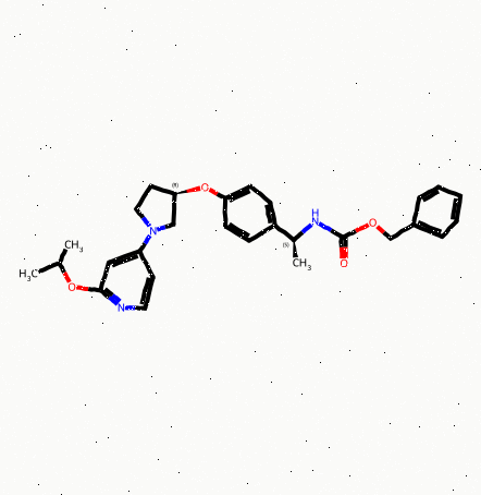 CC(C)Oc1cc(N2CC[C@@H](Oc3ccc([C@H](C)NC(=O)OCc4ccccc4)cc3)C2)ccn1